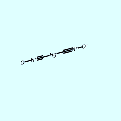 [O-][N+]#[C][Hg][C]#[N+][O-]